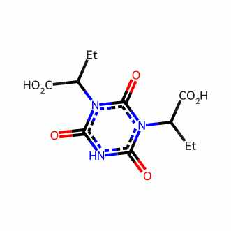 CCC(C(=O)O)n1c(=O)[nH]c(=O)n(C(CC)C(=O)O)c1=O